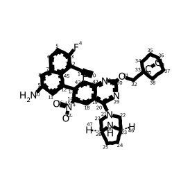 C#Cc1c(F)ccc2cc(N)cc(-c3c([N+](=O)[O-])cc4c(N5C[C@H]6CC[C@@H](C5)N6)nc(OCC56CCC(CC5)OC6)nc4c3F)c12